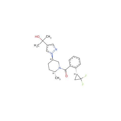 C[C@@H]1CC[C@@H](n2cc(C(C)(C)O)cn2)CN1C(=O)c1ccccc1[C@H]1CC1(F)F